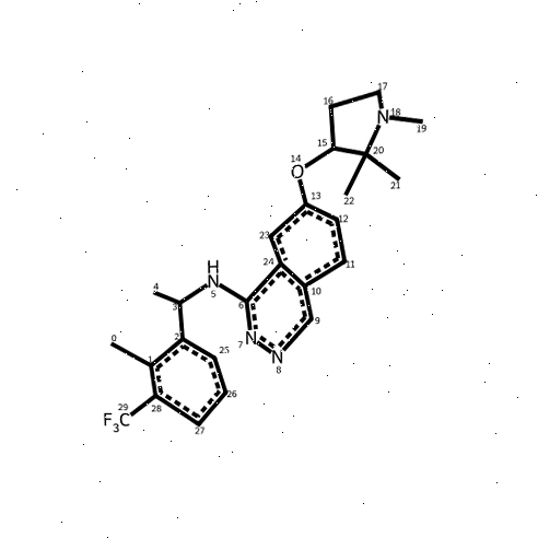 Cc1c(C(C)Nc2nncc3ccc(OC4CCN(C)C4(C)C)cc23)cccc1C(F)(F)F